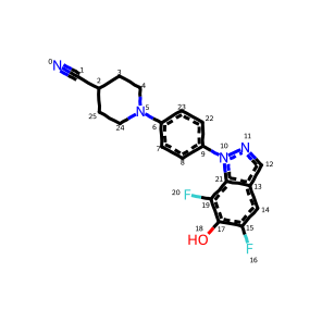 N#CC1CCN(c2ccc(-n3ncc4cc(F)c(O)c(F)c43)cc2)CC1